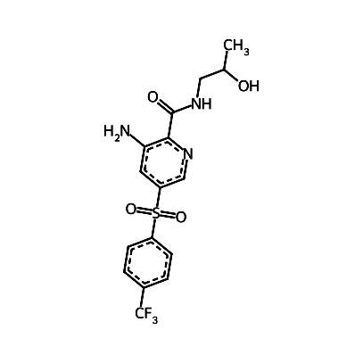 CC(O)CNC(=O)c1ncc(S(=O)(=O)c2ccc(C(F)(F)F)cc2)cc1N